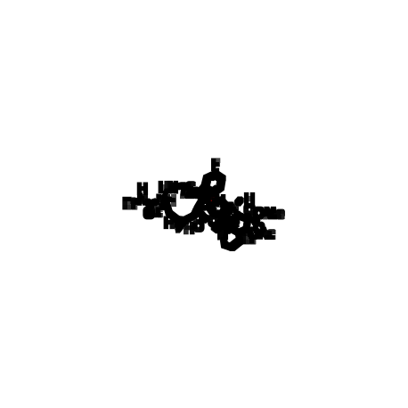 CCNC(=O)NC1(CC)CNCCc2c([nH]c3ccc(F)cc23)[C@@](C(=O)OC)(c2cc3c(cc2OC)N(C)C2C(O)(C(=O)OC)[C@H](OC(C)=O)[C@]4(CC)C=CCN5CC[C@]32[C@@H]54)C[C@@H]2C[C@@H]2C1